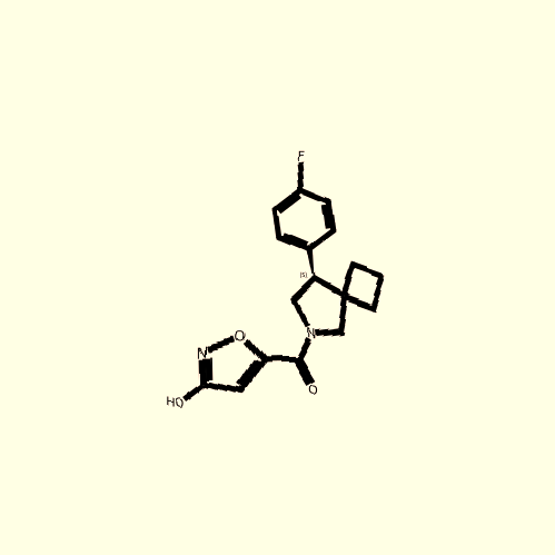 O=C(c1cc(O)no1)N1C[C@@H](c2ccc(F)cc2)C2(CCC2)C1